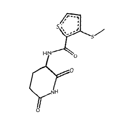 CSc1ccsc1C(=O)NC1CCC(=O)NC1=O